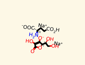 N[C@@H](CCC(=O)O)C(=O)[O-].O=C1O[C@H]([C@@H](O)CO)C([O-])=C1O.[Na+].[Na+]